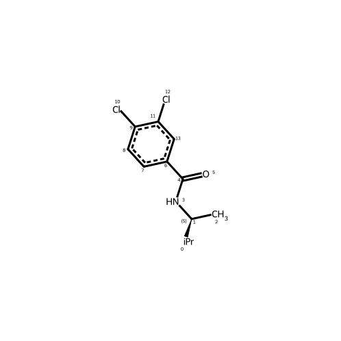 CC(C)[C@H](C)NC(=O)c1ccc(Cl)c(Cl)c1